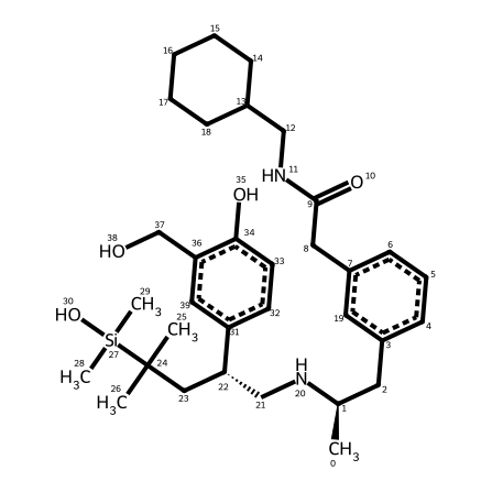 C[C@H](Cc1cccc(CC(=O)NCC2CCCCC2)c1)NC[C@H](CC(C)(C)[Si](C)(C)O)c1ccc(O)c(CO)c1